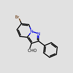 O=Cc1c(-c2ccccc2)nn2cc(Br)ccc12